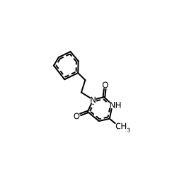 Cc1cc(=O)n(CCc2ccccc2)c(=O)[nH]1